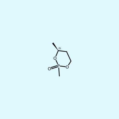 C[C@H]1CCOP(C)(=O)O1